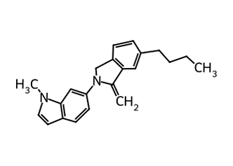 C=C1c2cc(CCCC)ccc2CN1c1ccc2ccn(C)c2c1